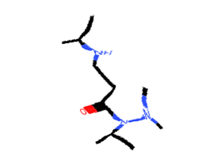 CC(C)NCCC(=O)N(C(C)C)N(C)C